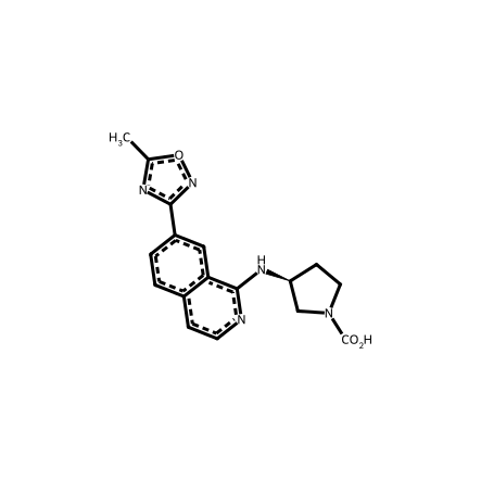 Cc1nc(-c2ccc3ccnc(N[C@H]4CCN(C(=O)O)C4)c3c2)no1